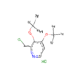 Cl.[2H]C([2H])([2H])Oc1ccnc(CCl)c1OC([2H])([2H])[2H]